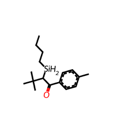 CCCC[SiH2]C(C(=O)c1ccc(C)cc1)C(C)(C)C